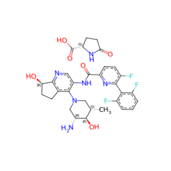 C[C@H]1CN(c2c(NC(=O)c3ccc(F)c(-c4c(F)cccc4F)n3)cnc3c2CC[C@H]3O)C[C@@H](N)[C@@H]1O.O=C1CC[C@@H](C(=O)O)N1